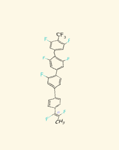 C/C(F)=C(\F)c1ccc(-c2ccc(-c3cc(F)c(-c4cc(F)c(C(F)(F)F)c(F)c4)c(F)c3)c(F)c2)cc1